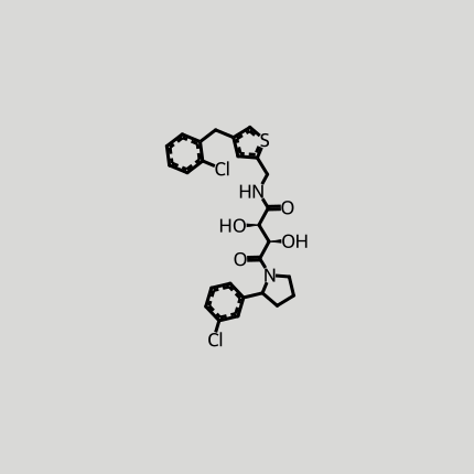 O=C(NCc1cc(Cc2ccccc2Cl)cs1)[C@H](O)[C@@H](O)C(=O)N1CCCC1c1cccc(Cl)c1